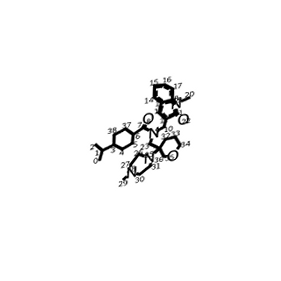 CC(C)C1CCC(C(=O)N(Cc2cc3ccccc3n(C)c2=O)CC2(N3CCN(C)CC3)CCCOC2)CC1